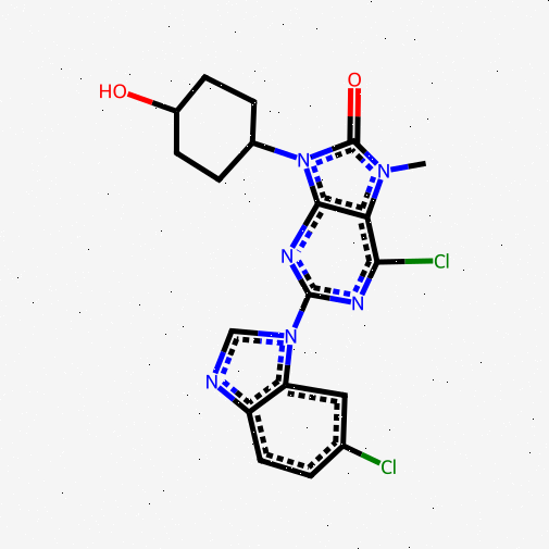 Cn1c(=O)n(C2CCC(O)CC2)c2nc(-n3cnc4ccc(Cl)cc43)nc(Cl)c21